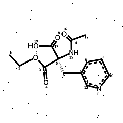 CCOC(=O)[C@](Cc1cccnc1)(NC(C)=O)C(=O)O